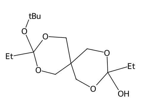 CCC1(O)OCC2(CO1)COC(CC)(OC(C)(C)C)OC2